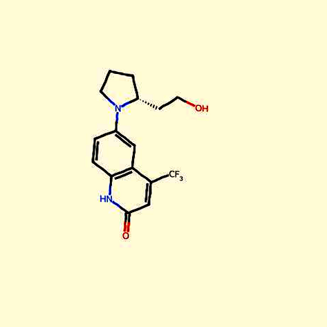 O=c1cc(C(F)(F)F)c2cc(N3CCC[C@@H]3CCO)ccc2[nH]1